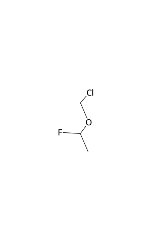 CC(F)OCCl